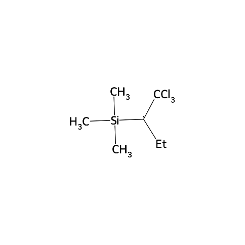 CC[C](C(Cl)(Cl)Cl)[Si](C)(C)C